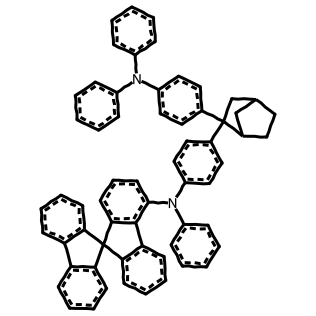 c1ccc(N(c2ccccc2)c2ccc(C3(c4ccc(N(c5ccccc5)c5cccc6c5-c5ccccc5C65c6ccccc6-c6ccccc65)cc4)CC4CCC3C4)cc2)cc1